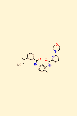 Cc1ccc(NC(=O)c2cccc(C(C)CC#N)c2)cc1NC(=O)c1cccc(N2CCOCC2)n1